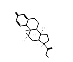 C[C@]12C=CC(=O)C=C1CC[C@H]1[C@@H]3CC[C@](O)(C(=O)CO)[C@@]3(C)C[C@@H]3O[C@]312